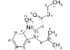 C=C(C)Cc1c(CC(=O)OCC)n(C)c2ccccc12